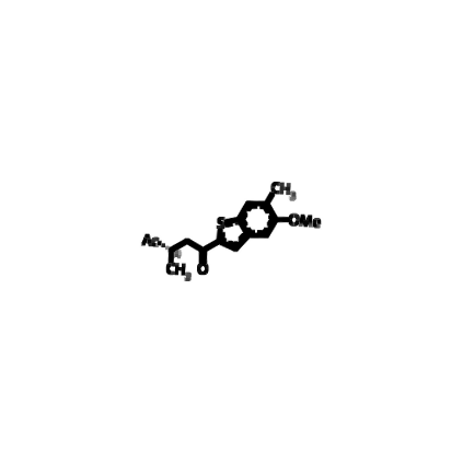 COc1cc2cc(C(=O)C[C@H](C)C(C)=O)sc2cc1C